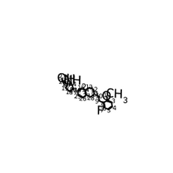 COc1cccc(F)c1CC[C@@H]1CCc2cc([C@@H]3CC[C@](N)(CO)C3)ccc2C1